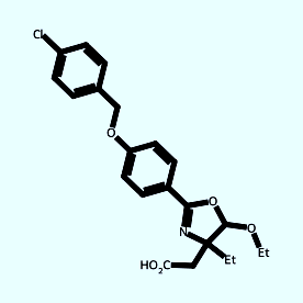 CCOC1OC(c2ccc(OCc3ccc(Cl)cc3)cc2)=NC1(CC)CC(=O)O